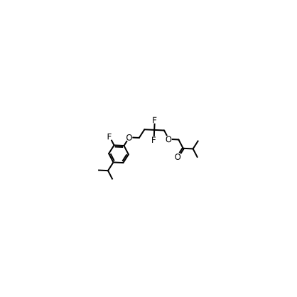 CC(C)C(=O)COCC(F)(F)CCOc1ccc(C(C)C)cc1F